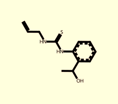 C=CCNC(=S)Nc1ccccc1C(C)O